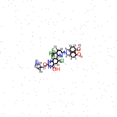 COc1ccc(CN(Cc2ccc(OC)cc2)c2cc(C)c(C(F)(F)F)c(-c3c(Cl)cc4c(O)nc(OCC5(CN(C)C)CC5)nc4c3F)n2)cc1